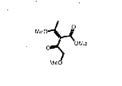 COCC(=O)/C(C(=O)OC)=C(/C)OC